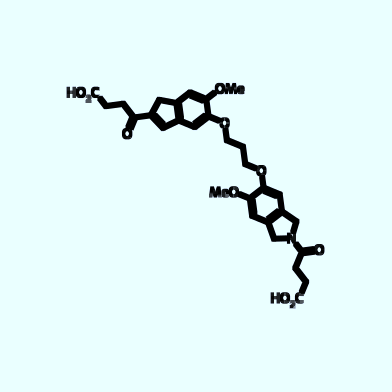 COc1cc2c(cc1OCCCOc1cc3c(cc1OC)CN(C(=O)CCC(=O)O)C3)C=C(C(=O)CCC(=O)O)C2